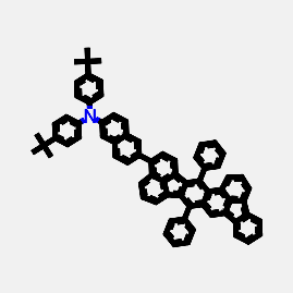 CC(C)(C)c1ccc(N(c2ccc(C(C)(C)C)cc2)c2ccc3cc(-c4ccc5c6c(-c7ccccc7)c7c(cc8c9ccccc9c9cccc7c98)c(-c7ccccc7)c6c6cccc4c65)ccc3c2)cc1